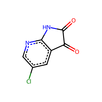 O=C1Nc2ncc(Cl)cc2C1=O